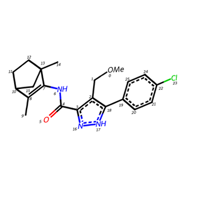 COCc1c(C(=O)NC2=C(C)C3CCC2(C)C3)n[nH]c1-c1ccc(Cl)cc1